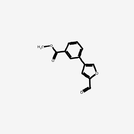 COC(=O)c1cccc(-c2coc(C=O)c2)c1